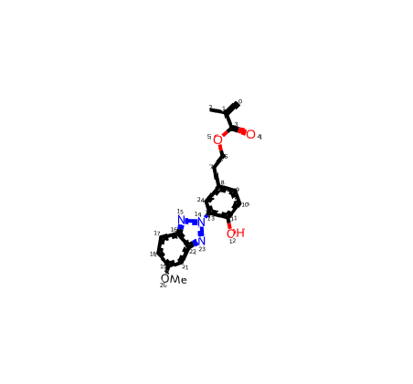 C=C(C)C(=O)OCCc1ccc(O)c(-n2nc3ccc(OC)cc3n2)c1